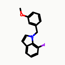 COc1cccc(Cn2ccc3cccc(I)c32)c1